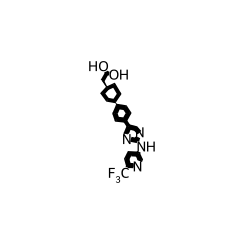 OC(O)C[C@H]1CC[C@H](c2ccc(-c3cnc(Nc4ccc(C(F)(F)F)nc4)nc3)cc2)CC1